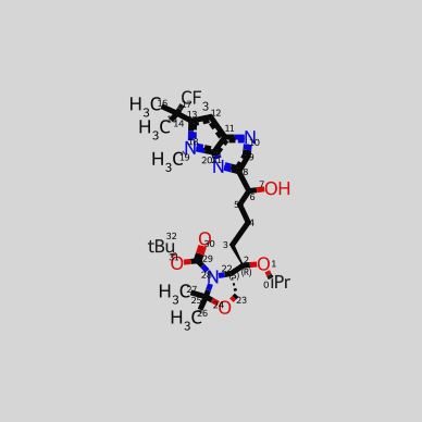 CC(C)O[C@H](CCCC(O)c1cnc2cc(C(C)(C)C(F)(F)F)n(C)c2n1)[C@@H]1COC(C)(C)N1C(=O)OC(C)(C)C